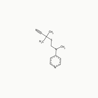 CN(CSC(C)(C)C#N)c1ccncc1